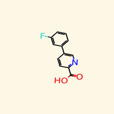 O=C(O)c1ccc(-c2cccc(F)c2)cn1